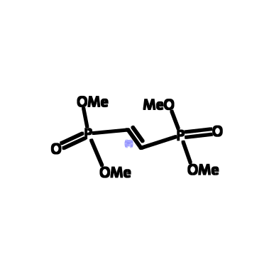 COP(=O)(/C=C/P(=O)(OC)OC)OC